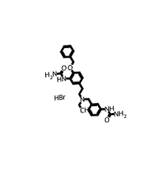 Br.CCN(CCc1ccc(OCc2ccccc2)c(NC(N)=O)c1)Cc1cccc(NC(N)=O)c1